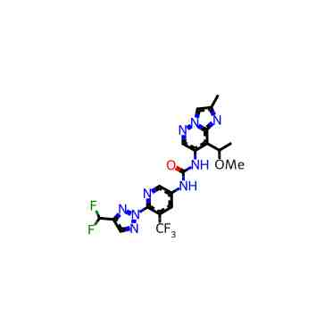 COC(C)c1c(NC(=O)Nc2cnc(-n3ncc(C(F)F)n3)c(C(F)(F)F)c2)cnn2cc(C)nc12